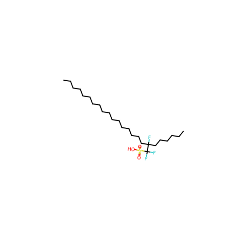 CCCCCCCCCCCCCCCCCC(F)(CCCCCC)C(F)(F)S(=O)(=O)O